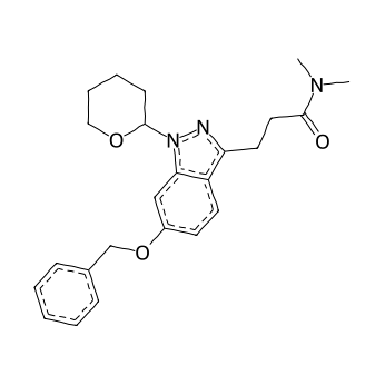 CN(C)C(=O)CCc1nn(C2CCCCO2)c2cc(OCc3ccccc3)ccc12